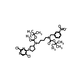 CC(C)(C)OC(=O)N(CCCCN(C(=O)OC(C)(C)C)C1CCN(c2nc(Cl)ncc2Cl)C1)Cc1cccc([N+](=O)[O-])c1